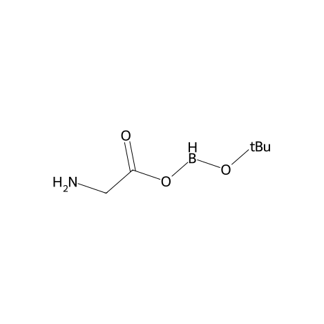 CC(C)(C)OBOC(=O)CN